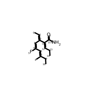 C/C=C(\C=C(F)/C=C(\C)CC)C(=C/CC)/C(N)=O